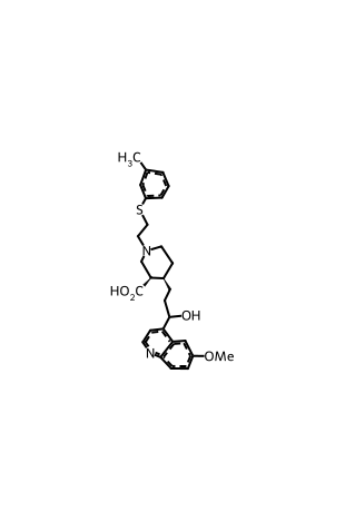 COc1ccc2nccc(C(O)CC[C@@H]3CCN(CCSc4cccc(C)c4)C[C@@H]3C(=O)O)c2c1